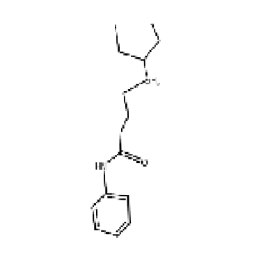 CCC(CC)[SiH2]CCCC(=O)Nc1ccccc1